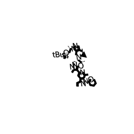 C=Cc1nn(C2CCCCO2)c2c(C)nc(-c3c(C)nn(C)c3O[C@@H](C)CN(Cc3c(I)cnn3[C@@H](C)CO[Si](C)(C)C(C)(C)C)C3CC3)cc12